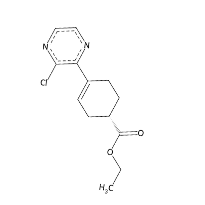 CCOC(=O)[C@@H]1CC=C(c2nccnc2Cl)CC1